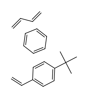 C=CC=C.C=Cc1ccc(C(C)(C)C)cc1.c1ccccc1